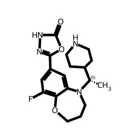 C[C@@H](C1CCNCC1)N1CCCOc2c(F)cc(-c3n[nH]c(=O)o3)cc21